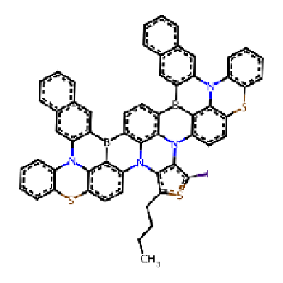 CCCCc1sc(I)c2c1N1c3ccc4c5c3B(c3cc6ccccc6cc3N5c3ccccc3S4)c3ccc4c(c31)N2c1ccc2c3c1B4c1cc4ccccc4cc1N3c1ccccc1S2